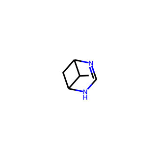 CC1C2CC1NC=N2